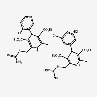 CCOC(=O)C1=C(C)NC(CSC(=N)N)=C(C(=O)OCC)C1c1cccc(Cl)c1.CCOC(=O)C1=C(C)NC(CSC(=N)N)=C(C(=O)OCC)C1c1ccccc1Cl.Cl